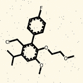 COCCOc1c(OC)cc(C(C)C)c(CCl)c1-c1ccc(F)cc1